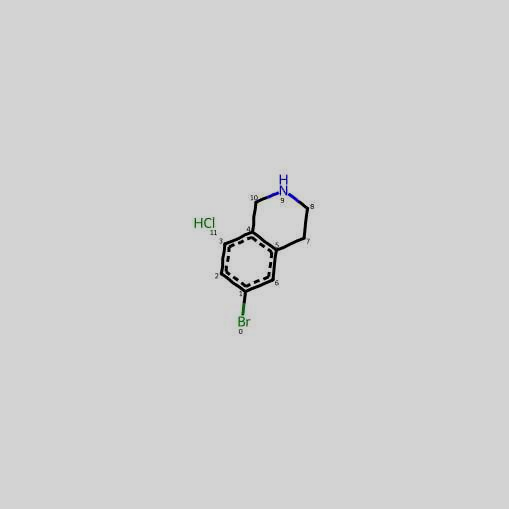 Brc1ccc2c(c1)CCNC2.Cl